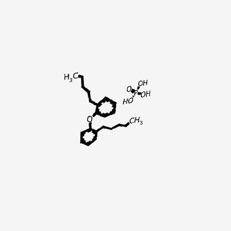 CCCCCc1ccccc1Oc1ccccc1CCCCC.O=P(O)(O)O